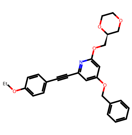 CCOc1ccc(C#Cc2cc(OCc3ccccc3)cc(OC[C@@H]3COCCO3)n2)cc1